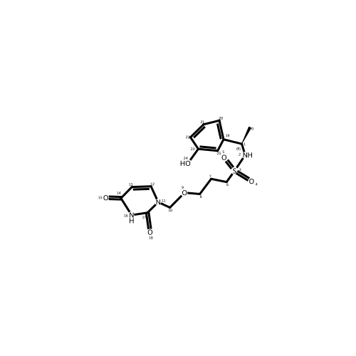 C[C@@H](NS(=O)(=O)CCCOCn1ccc(=O)[nH]c1=O)c1cccc(O)c1